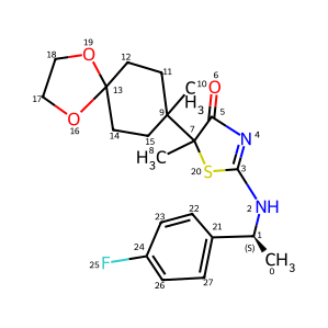 C[C@H](NC1=NC(=O)C(C)(C2(C)CCC3(CC2)OCCO3)S1)c1ccc(F)cc1